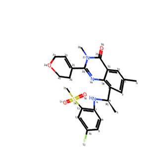 Cc1cc([C@@H](C)Nc2ccc(F)cc2S(C)(=O)=O)c2nc(C3=CCOCC3)n(C)c(=O)c2c1